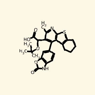 Cc1nc2sc3c(c2c(-c2ccc4[nH]c(=O)oc4c2)c1C(OC(C)(C)C)C(=O)O)CCCC3